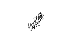 CC(C)(C)OC(=O)NC1(c2ccc(-c3c(-c4ccccc4)oc4c(O)c(N)ccc4c3=O)cc2)CCC1